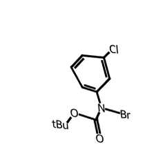 CC(C)(C)OC(=O)N(Br)c1cccc(Cl)c1